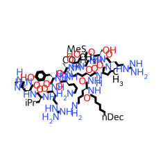 CCCCCCCCCCCCCCCC(=O)N[C@@H](CCCCN)C(=O)N[C@@H](CCCCN)C(=O)N[C@@H]1CC(C)N([C@@H](CCCNC(=N)N)C(=O)N[C@@H](CO)C(=O)N[C@@H](CCSC)C(=O)N[C@H](C(=O)N[C@@H](CC(=O)O)C(=O)N[C@@H](CCCCN)C(=O)N[C@@H](Cc2ccc(O)cc2)C(=O)N[C@@H](CCCNC(=N)N)C(=O)N[C@@H](CC(C)C)C(=O)N[C@@H](Cc2c[nH]cn2)C(N)=O)[C@@H](C)O)C1=O